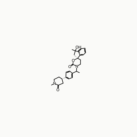 CC(c1ccc([C@H]2CCN(C)C(=O)C2)cc1)N1CC[C@](CC(C)(C)O)(c2ccccc2)OC1=O